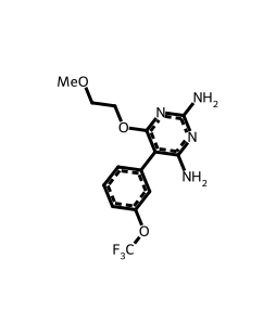 COCCOc1nc(N)nc(N)c1-c1cccc(OC(F)(F)F)c1